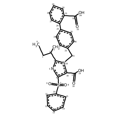 CCC(C)c1nc(S(=O)(=O)c2ccccc2)c(C(=O)O)n1Cc1ccc(-c2ccccc2C(=O)O)cc1